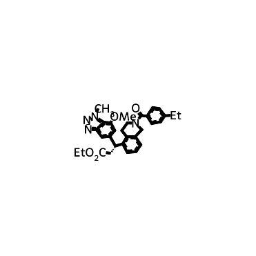 CCOC(=O)C[C@H](c1cc(OC)c2c(c1)nnn2C)c1cccc2c1CCN(C(=O)c1ccc(CC)cc1)C2